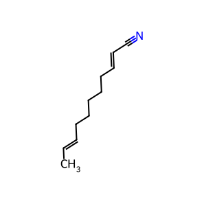 CC=CCCCCCC=CC#N